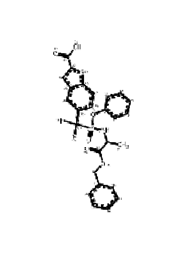 CC(NP(=O)(Oc1ccccc1)C(F)(F)c1ccc2sc(C(=O)O)cc2c1)C(=O)OCc1ccccc1